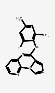 Cc1cc(C)c(Nc2nc3cccnc3n3cncc23)c(Cl)c1